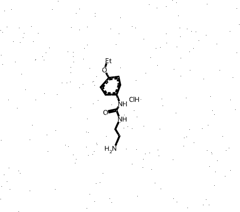 CCOc1ccc(NC(=O)NCCN)cc1.Cl